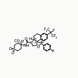 O=C(NC1(C(=O)O)CCS(=O)(=O)CC1)N1CC[C@@]2(S(=O)(=O)c3ccc(F)cc3)c3ccc(C(F)(C(F)(F)F)C(F)(F)F)cc3CC[C@@H]12